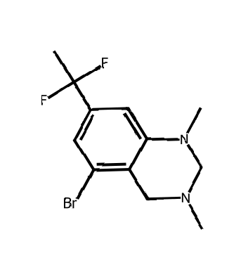 CN1Cc2c(Br)cc(C(C)(F)F)cc2N(C)C1